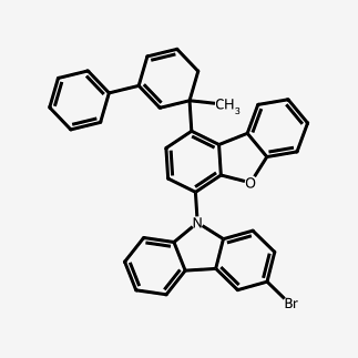 CC1(c2ccc(-n3c4ccccc4c4cc(Br)ccc43)c3oc4ccccc4c23)C=C(c2ccccc2)C=CC1